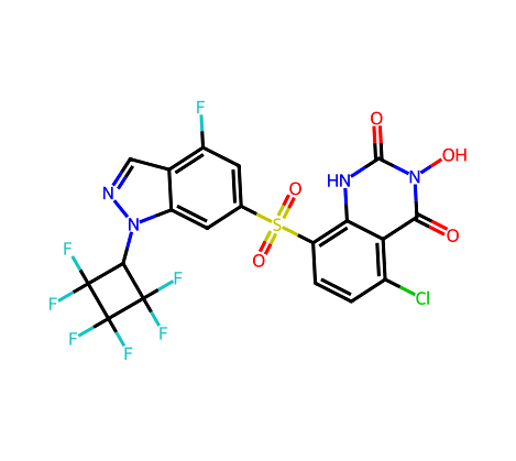 O=c1[nH]c2c(S(=O)(=O)c3cc(F)c4cnn(C5C(F)(F)C(F)(F)C5(F)F)c4c3)ccc(Cl)c2c(=O)n1O